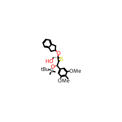 COc1cc([C@@H](O[Si](C)(C)C(C)(C)C)C2S[C@]2(CO)OC2Cc3ccccc3C2)cc(OC)c1C